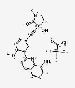 COc1ccc(C#C[C@]2(O)CCN(C)C2=O)cc1-c1ncc2ccnc(N)c2n1.O=C(O)C(F)(F)F